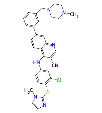 CN1CCN(Cc2cccc(-c3ccc4c(Nc5ccc(Sc6nccn6C)c(Cl)c5)c(C#N)cnc4c3)c2)CC1